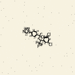 CC(O)(CC(c1cc(Cl)cc(Cl)c1)C(F)(F)F)c1ccc(-n2cncn2)cc1